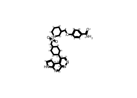 NC(=O)c1ccc(OCC2CCCN(S(=O)(=O)CC3CCC(c4cnnc5cnc6[nH]ccc6c45)CC3)C2)cc1